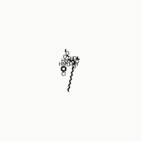 CCCCCCCCCCCCO[C@H]1O[C@H]([C@@H](CC(=O)OCC)NC(=O)Nc2ccc(Cl)cc2)[C@@H]2OC(C)(C)O[C@H]12